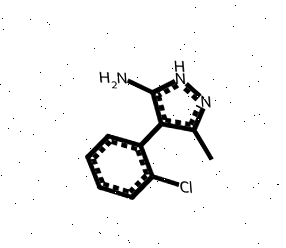 Cc1n[nH]c(N)c1-c1ccccc1Cl